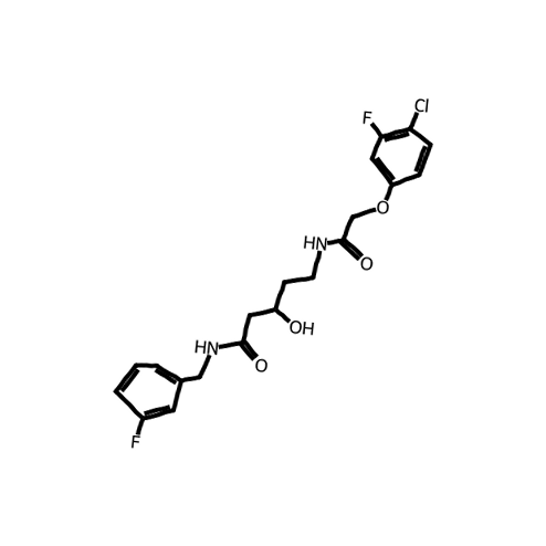 O=C(COc1ccc(Cl)c(F)c1)NCCC(O)CC(=O)NCc1cccc(F)c1